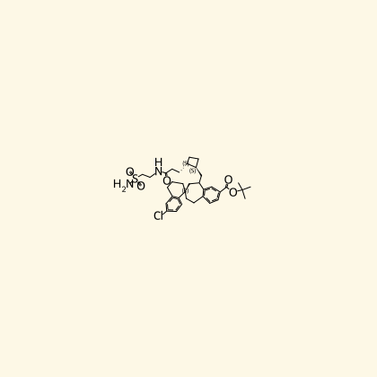 CC(C)(C)OC(=O)c1ccc2c(c1)C(C[C@@H]1CC[C@H]1CCC(=O)NCCS(N)(=O)=O)C[C@@]1(CCCc3cc(Cl)ccc31)CC2